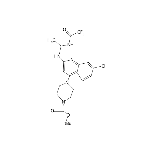 CC(NC(=O)C(F)(F)F)Nc1cc(N2CCN(C(=O)OC(C)(C)C)CC2)c2ccc(Cl)cc2n1